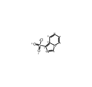 O=S(=O)(Cl)c1ncn2ccccc12